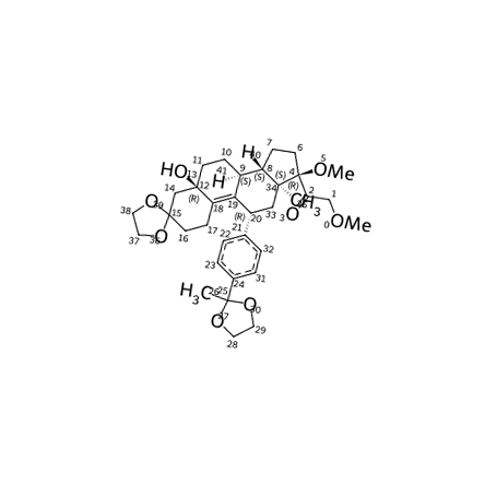 COCC(=O)[C@@]1(OC)CC[C@H]2[C@@H]3CC[C@@]4(O)CC5(CCC4=C3[C@@H](c3ccc(C4(C)OCCO4)cc3)C[C@@]21C)OCCO5